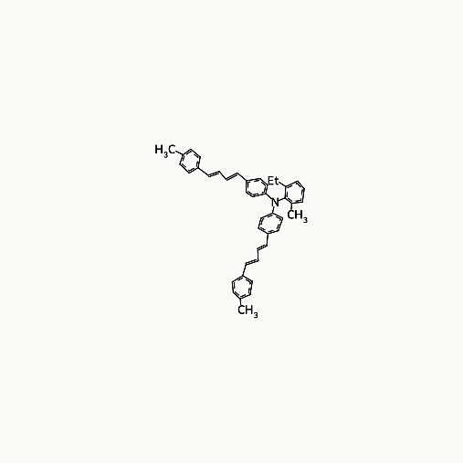 CCc1cccc(C)c1N(c1ccc(/C=C/C=C/c2ccc(C)cc2)cc1)c1ccc(/C=C/C=C/c2ccc(C)cc2)cc1